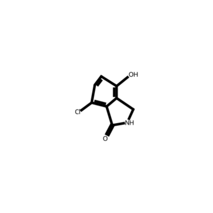 O=C1NCc2c(O)ccc(Cl)c21